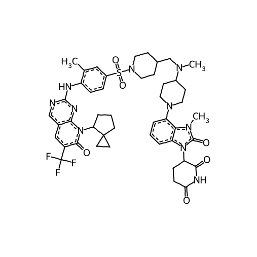 Cc1cc(S(=O)(=O)N2CCC(CN(C)C3CCN(c4cccc5c4n(C)c(=O)n5C4CCC(=O)NC4=O)CC3)CC2)ccc1Nc1ncc2cc(C(F)(F)F)c(=O)n(C3CCCC34CC4)c2n1